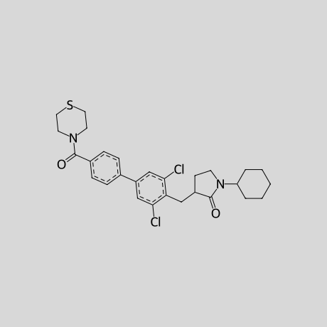 O=C(c1ccc(-c2cc(Cl)c(CC3CCN(C4CCCCC4)C3=O)c(Cl)c2)cc1)N1CCSCC1